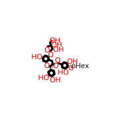 CCCCCCOc1c(O)cc(C(=O)O[C@@H]2Cc3c(OC4OCC(O)(CO)C4O)cc(O)cc3O[C@@H]2c2ccc(O)c(O)c2)cc1O